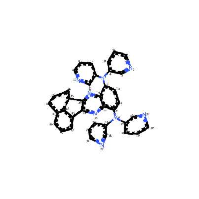 c1cncc(N(c2cccnc2)c2ccc(N(c3cccnc3)c3cccnc3)c3nc4c(nc23)-c2cccc3cccc-4c23)c1